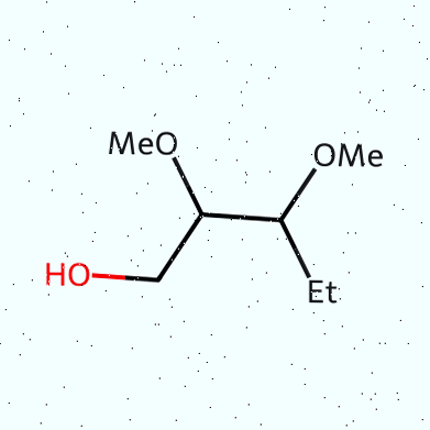 CCC(OC)C(CO)OC